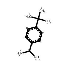 CC(C)(C)c1ccc(C(N)N)cc1